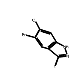 Clc1cc2[nH]nc(I)c2cc1Br